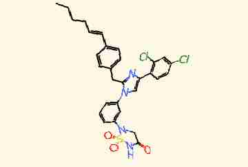 CCCCC=Cc1ccc(Cc2nc(-c3ccc(Cl)cc3Cl)cn2-c2cccc(N3CC(=O)NS3(=O)=O)c2)cc1